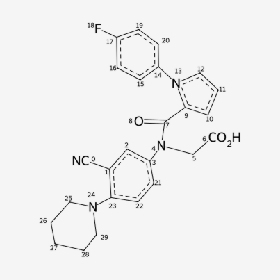 N#Cc1cc(N(CC(=O)O)C(=O)c2cccn2-c2ccc(F)cc2)ccc1N1CCCCC1